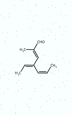 C\C=C/C(/C=C(\C)C=O)=C\C